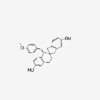 COc1ccc(C=C2c3ccc(O)cc3CCC23Cc2ccc(O)cc2C3)cc1